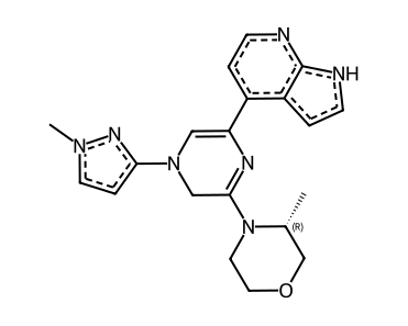 C[C@@H]1COCCN1C1=NC(c2ccnc3[nH]ccc23)=CN(c2ccn(C)n2)C1